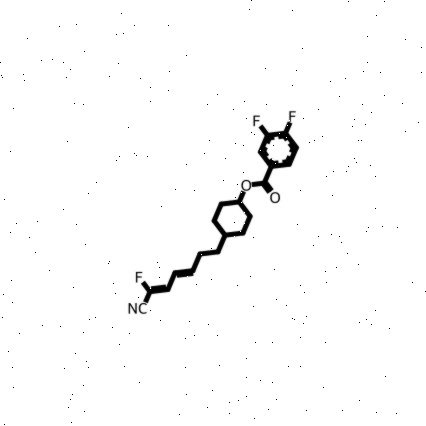 N#CC(F)=C/C=C/CCC1CCC(OC(=O)c2ccc(F)c(F)c2)CC1